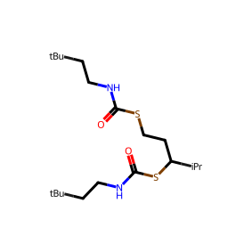 CC(C)C(CCSC(=O)NCCC(C)(C)C)SC(=O)NCCC(C)(C)C